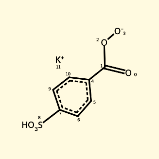 O=C(O[O-])c1ccc(S(=O)(=O)O)cc1.[K+]